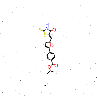 CC(C)OC(=O)c1ccc(-c2ccc(/C=C3\SC(=S)NC3=O)o2)cc1